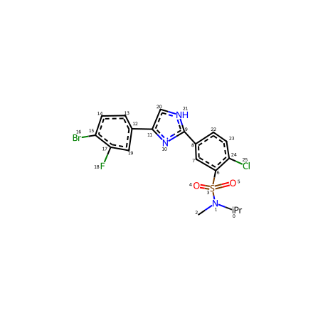 CC(C)N(C)S(=O)(=O)c1cc(-c2nc(-c3ccc(Br)c(F)c3)c[nH]2)ccc1Cl